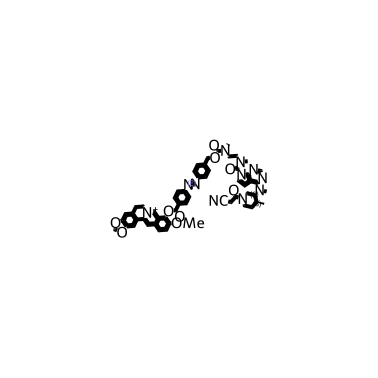 COc1ccc2cc3[n+](cc2c1OC(=O)c1ccc(/N=N/c2ccc(COC(=O)N(C)CCN(C)C(=O)n4ccc5c(N(C)[C@@H]6CN(C(=O)CC#N)CC[C@@H]6C)ncnc54)cc2)cc1)CCc1cc2c(cc1-3)OCO2